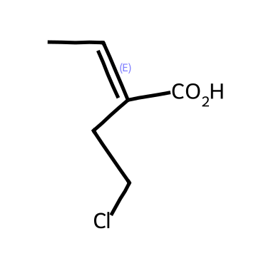 C/C=C(\CCCl)C(=O)O